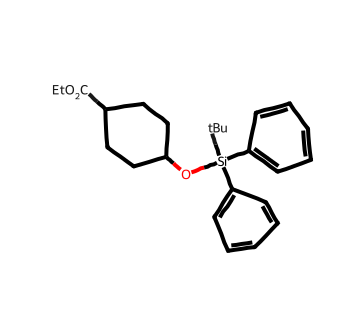 CCOC(=O)C1CCC(O[Si](c2ccccc2)(c2ccccc2)C(C)(C)C)CC1